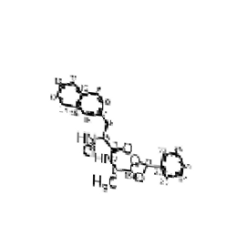 C[C@H](NC(=O)[C@H](Cc1ccc2ccccc2c1)NCl)C1OC(c2ccccc2)O1